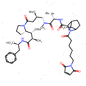 CC[C@H](C)[C@@H]([C@@H](CC(=O)N1CCC[C@H]1[C@H](OC)[C@@H](C)C(=O)N[C@@H](Cc1ccccc1)C(=O)O)OC)N(C)C(=O)[C@@H](NC(=O)[C@H]1C2CCC([C@@H]2C)N1C(=O)CCCCCN1C(=O)C=CC1=O)C(C)C